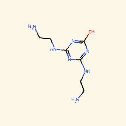 NCCNc1nc(O)nc(NCCN)n1